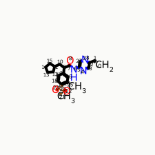 C=Cc1cnc(NC(=O)C(CC2CCCC2)c2ccc(S(C)(=O)=O)c(C)c2)cn1